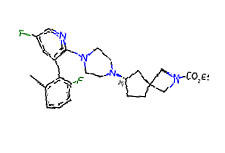 CCOC(=O)N1CC2(CC[C@@H](N3CCN(c4ncc(F)cc4-c4c(C)cccc4F)CC3)C2)C1